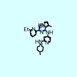 CC/C=C(\N=C(\Nc1ccnc(NN2CCC(C)CC2)c1)c1[nH]ccc1C)c1cccc(CC)n1